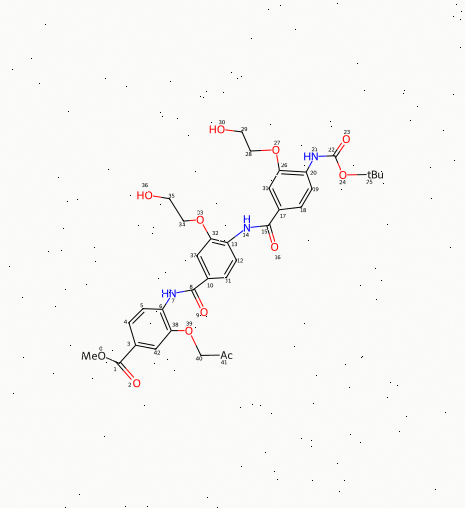 COC(=O)c1ccc(NC(=O)c2ccc(NC(=O)c3ccc(NC(=O)OC(C)(C)C)c(OCCO)c3)c(OCCO)c2)c(OCC(C)=O)c1